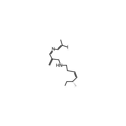 C=C(/C=N\C=C(/C)I)CNCC/C=C\[C@H](C)CC